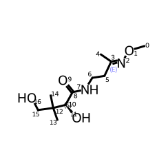 CO/N=C(\C)CCNC(=O)[C@@H](O)C(C)(C)CO